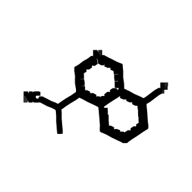 CC(C#N)c1cncc2c(F)cccc12